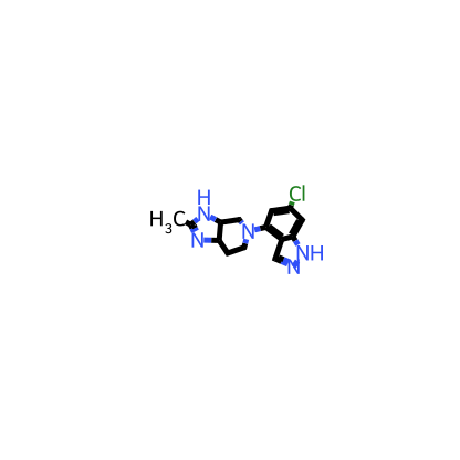 CC1=NC2CCN(c3cc(Cl)cc4[nH]ncc34)CC2N1